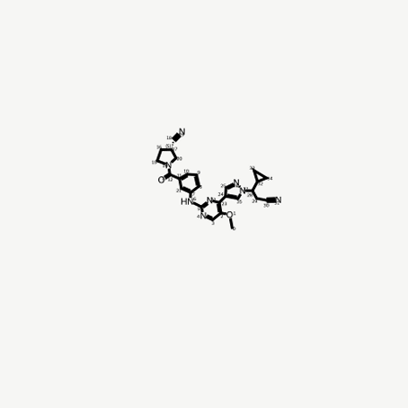 COc1cnc(Nc2cccc(C(=O)N3CC[C@H](C#N)C3)c2)nc1-c1cnn(C(CC#N)C2CC2)c1